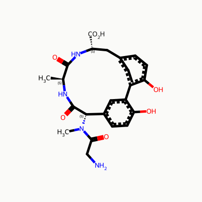 C[C@@H]1NC(=O)[C@@H](N(C)C(=O)CN)c2ccc(O)c(c2)-c2cc(ccc2O)C[C@@H](C(=O)O)NC1=O